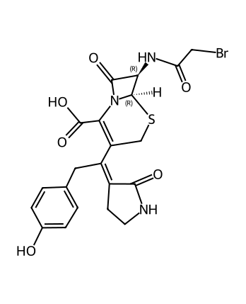 O=C(CBr)N[C@@H]1C(=O)N2C(C(=O)O)=C(C(Cc3ccc(O)cc3)=C3CCNC3=O)CS[C@H]12